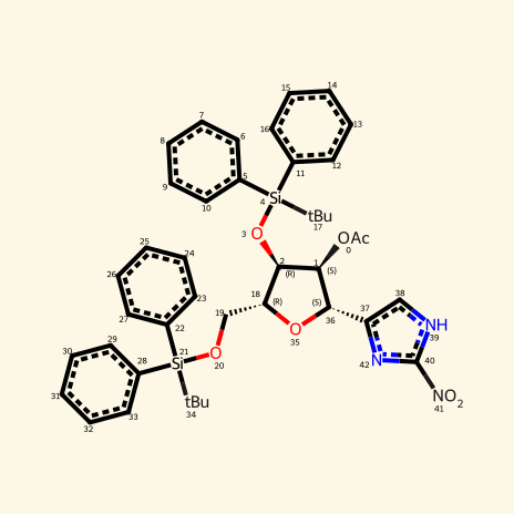 CC(=O)O[C@@H]1[C@H](O[Si](c2ccccc2)(c2ccccc2)C(C)(C)C)[C@@H](CO[Si](c2ccccc2)(c2ccccc2)C(C)(C)C)O[C@H]1c1c[nH]c([N+](=O)[O-])n1